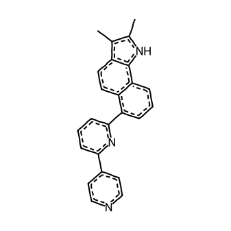 Cc1[nH]c2c(ccc3c(-c4cccc(-c5ccncc5)n4)cccc32)c1C